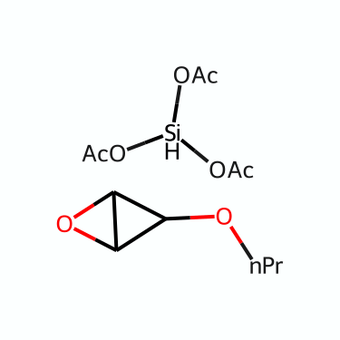 CC(=O)O[SiH](OC(C)=O)OC(C)=O.CCCOC1C2OC12